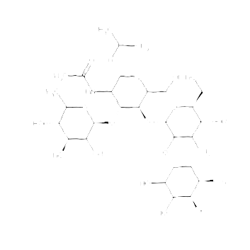 CC(=O)NC1[C@H](OC(C)C)OC(CO)[C@@H](O[C@@H]2O[C@@H](CO)[C@H](O)C(C)C2O[C@@H]2C[C@@H](C)[C@@H](O)C(O)C2O)[C@@H]1O[C@@H]1OC(C)[C@@H](O)[C@H](O)C1O